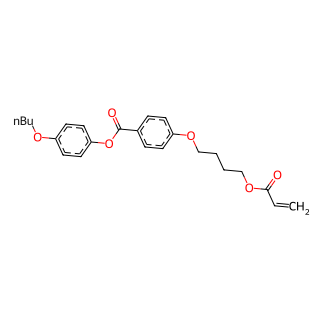 C=CC(=O)OCCCCOc1ccc(C(=O)Oc2ccc(OCCCC)cc2)cc1